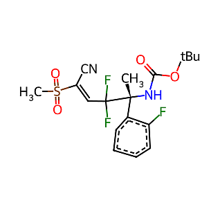 CC(C)(C)OC(=O)N[C@](C)(c1ccccc1F)C(F)(F)/C=C(\C#N)S(C)(=O)=O